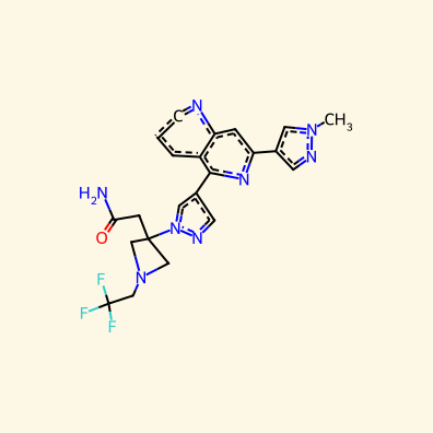 Cn1cc(-c2cc3ncccc3c(-c3cnn(C4(CC(N)=O)CN(CC(F)(F)F)C4)c3)n2)cn1